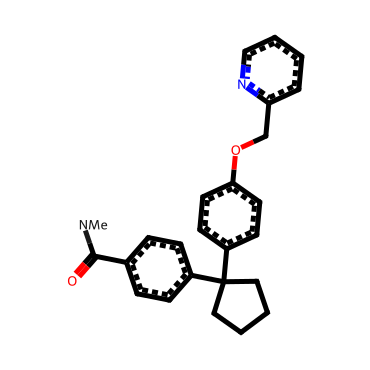 CNC(=O)c1ccc(C2(c3ccc(OCc4ccccn4)cc3)CCCC2)cc1